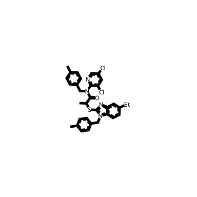 CCc1ccc2c(c1)nc(SC(C)C(=O)N(Cc1ccc(C)cc1)c1ncc(Cl)cc1Cl)n2Cc1ccc(C)cc1